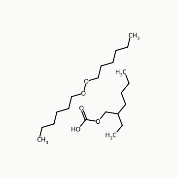 CCCCC(CC)COC(=O)O.CCCCCCOOCCCCCC